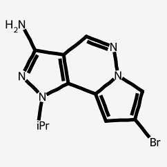 CC(C)n1nc(N)c2cnn3cc(Br)cc3c21